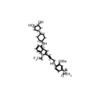 COc1cc(S(C)(=O)=O)ccc1NCC#Cc1cc2c(NC3CCC(N4C[C@H](O)[C@@H](O)C4)CC3)cccc2n1CC(F)(F)F